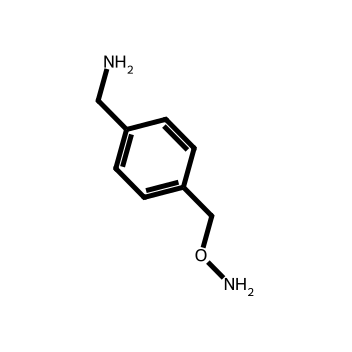 NCc1ccc(CON)cc1